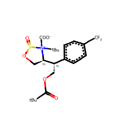 CC(C)(C)C(=O)OC[C@@H](c1ccc(C(F)(F)F)cc1)[C@H]1COS(=O)[N+]1(C(=O)[O-])C(C)(C)C